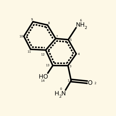 NC(=O)c1cc(N)c2ccccc2c1O